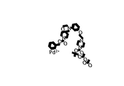 CC(=O)[O-].CC(=O)[O-].CC(C)(C)OC(=O)N1CCN(CCOc2cccc(N3CCOC4(CCN(C(=O)OCc5ccccc5)CC4)C3)c2)CC1.[Pd+2]